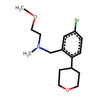 COCCN(C)Cc1cc(Br)ccc1C1CCOCC1